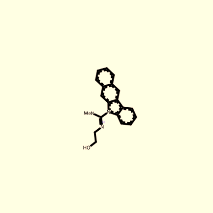 CN/C(=N\CCO)n1c2ccccc2c2cc3ccccc3cc21